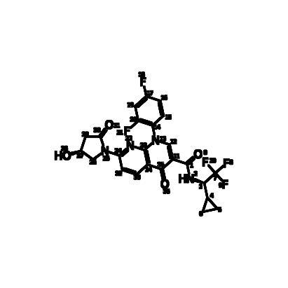 O=C(N[C@H](C1CC1)C(F)(F)F)c1cn(-c2ccc(F)cc2F)c2nc(N3C[C@@H](O)CC3=O)ccc2c1=O